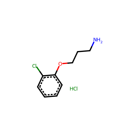 Cl.NCCCOc1ccccc1Cl